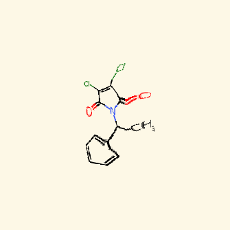 CC(c1ccccc1)N1C(=O)C(Cl)=C(Cl)C1=O